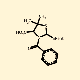 CCCCCC1SC(C)(C)C(C(=O)O)N1C(=O)c1ccccc1